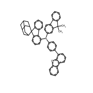 CC1(C)c2ccccc2-c2ccc(N(c3ccc(-c4cccc5c4oc4ccccc45)cc3)c3cccc4c3-c3ccccc3C43C4CC5CC(C4)CC3C5)cc21